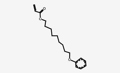 C=CC(=O)OCCCCCCCCCOc1ccccc1